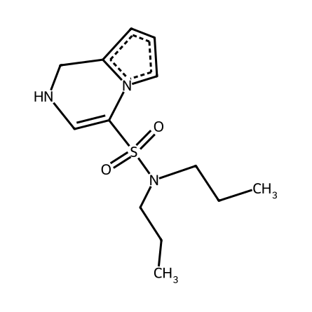 CCCN(CCC)S(=O)(=O)C1=CNCc2cccn21